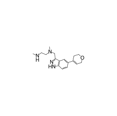 CNCCN(C)Cc1n[nH]c2ccc(C3=CCOCC3)cc12